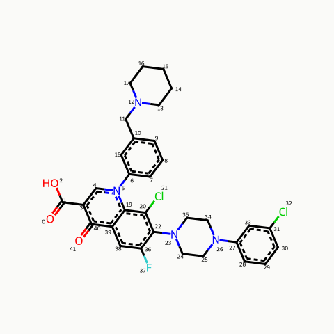 O=C(O)c1cn(-c2cccc(CN3CCCCC3)c2)c2c(Cl)c(N3CCN(c4cccc(Cl)c4)CC3)c(F)cc2c1=O